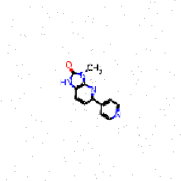 Cn1c(=O)[nH]c2ccc(-c3ccncc3)nc21